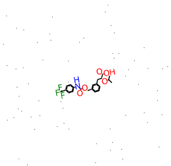 CC(C)OC(Cc1cccc(COC(=O)Nc2ccc(C(F)(F)F)cc2)c1)C(=O)O